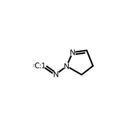 C1=NN(N=[C:1])CC1